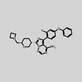 Nc1ncnn2c([C@H]3CC[C@H](CN4CCC4)OC3)nc(-c3ccc(Oc4ccccc4)cc3F)c12